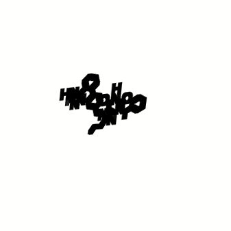 CCCc1nc2c(c(=O)[nH]c(=O)n2C(C)c2ccccc2)n1Cc1ccc(-c2ccccc2-c2nnn[nH]2)cc1